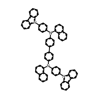 c1ccc2c(N(c3ccc(-c4ccc(N(c5ccc(-n6c7ccccc7c7ccccc76)cc5)c5cccc6ccccc56)cc4)cc3)c3ccc(-n4c5ccccc5c5ccccc54)cc3)cccc2c1